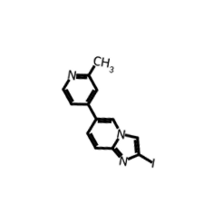 Cc1cc(-c2ccc3nc(I)cn3c2)ccn1